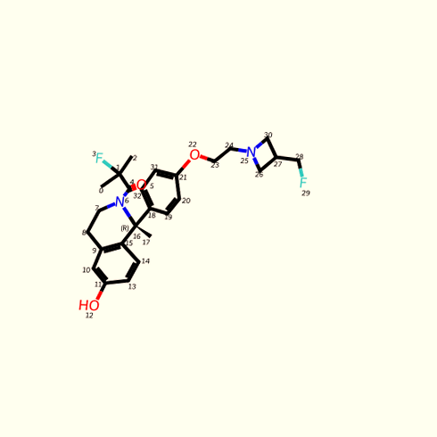 CC(C)(F)C(=O)N1CCc2cc(O)ccc2[C@@]1(C)c1ccc(OCCN2CC(CF)C2)cc1